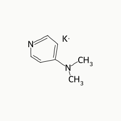 CN(C)c1ccncc1.[K]